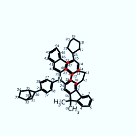 CC1(C)c2ccccc2-c2cc(-c3ccc(C4CCCCC4)cc3)c(N(c3ccc(C4CC5CCC4C5)cc3)c3cc4ccccc4cc3C3CCCCC3)cc21